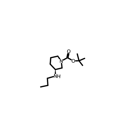 CCCN[C@H]1CCCN(C(=O)OC(C)(C)C)C1